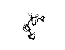 O=C1C(=O)N(C2CCC2)CCN1Cc1cc(-c2ccccn2)on1